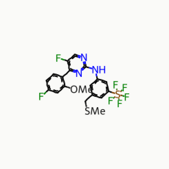 COc1cc(F)ccc1-c1nc(Nc2cc(CSC)cc(S(F)(F)(F)(F)F)c2)ncc1F